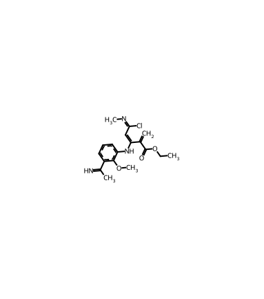 C=C(C(=O)OCC)/C(=C\C(Cl)=N/C)Nc1cccc(C(C)=N)c1OC